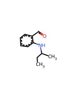 CCC(C)Nc1ccccc1[C]=O